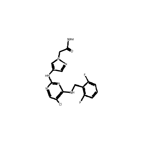 CNC(=O)Cn1cc(Nc2ncc(Cl)c(NCc3c(F)cccc3F)n2)cn1